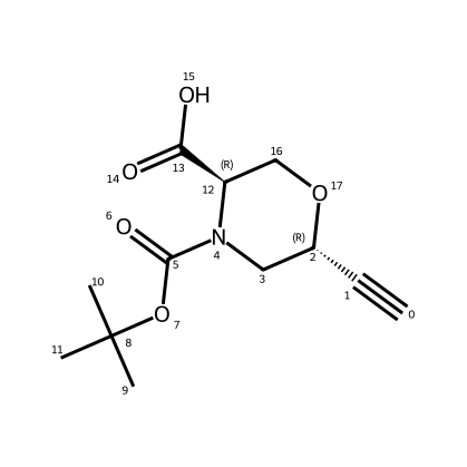 C#C[C@@H]1CN(C(=O)OC(C)(C)C)[C@@H](C(=O)O)CO1